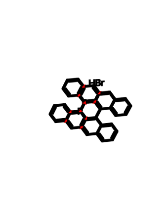 Br.c1ccc(P(c2ccccc2)c2ccc3ccccc3c2-c2c(P(c3ccccc3)c3ccccc3)ccc3ccccc23)cc1